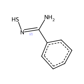 N/C(=N\S)c1ccccc1